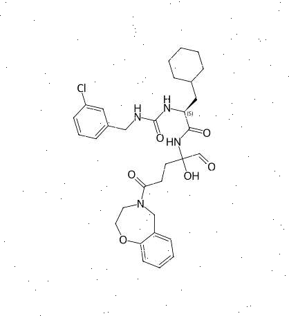 O=CC(O)(CCC(=O)N1CCOc2ccccc2C1)NC(=O)[C@H](CC1CCCCC1)NC(=O)NCc1cccc(Cl)c1